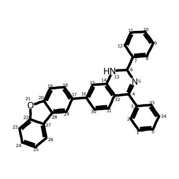 c1ccc(C2=NC(c3ccccc3)Nc3cc(-c4ccc5oc6ccccc6c5c4)ccc32)cc1